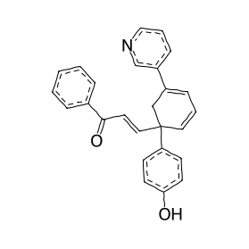 O=C(/C=C/C1(c2ccc(O)cc2)C=CC=C(c2cccnc2)C1)c1ccccc1